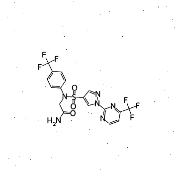 NC(=O)CN(c1ccc(C(F)(F)F)cc1)S(=O)(=O)c1cnn(-c2nccc(C(F)(F)F)n2)c1